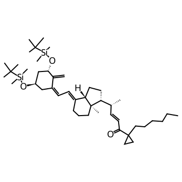 C=C1/C(=C\C=C2/CCC[C@]3(C)[C@@H]([C@H](C)/C=C/C(=O)C4(CCCCCC)CC4)CC[C@@H]23)C[C@@H](O[Si](C)(C)C(C)(C)C)C[C@@H]1O[Si](C)(C)C(C)(C)C